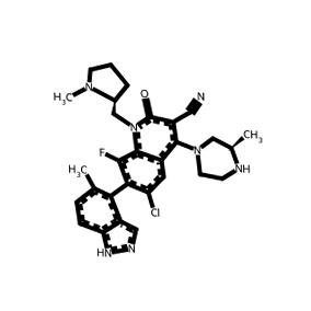 Cc1ccc2[nH]ncc2c1-c1c(Cl)cc2c(N3CCN[C@H](C)C3)c(C#N)c(=O)n(C[C@@H]3CCCN3C)c2c1F